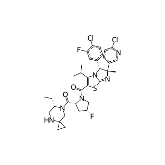 CC[C@H]1CNC2(CC2)CN1C(=O)[C@H]1C[C@@H](F)CN1C(=O)C1=C(C(C)C)N2C(=N[C@@](C)(c3ccc(Cl)nc3)[C@H]2c2ccc(Cl)c(F)c2)S1